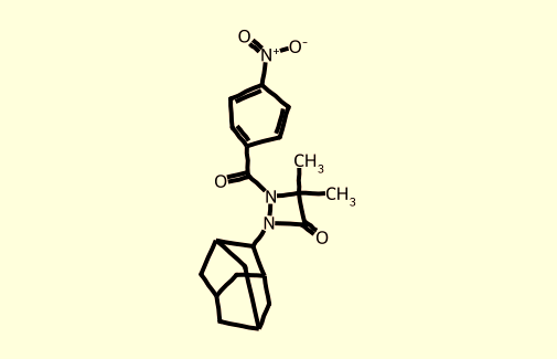 CC1(C)C(=O)N(C2C3CC4CC(C3)CC2C4)N1C(=O)c1ccc([N+](=O)[O-])cc1